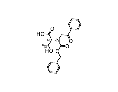 C[C@H](O)[C@@H](C(=O)O)N(CC(=O)c1ccccc1)C(=O)OCc1ccccc1